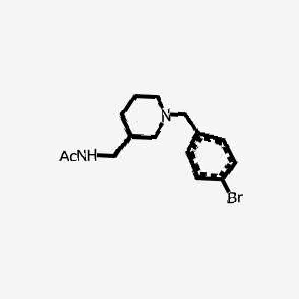 CC(=O)NCC1CCCN(Cc2ccc(Br)cc2)C1